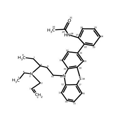 C=CCN(CC)C(CC)CCN1c2ccccc2Sc2cc(-c3ccccc3NC(C)=O)ccc21